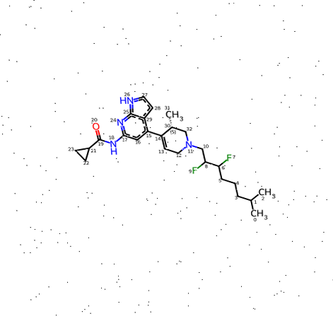 CC(C)CCCC(F)C(F)CN1CC=C(c2cc(NC(=O)C3CC3)nc3[nH]ccc23)[C@H](C)C1